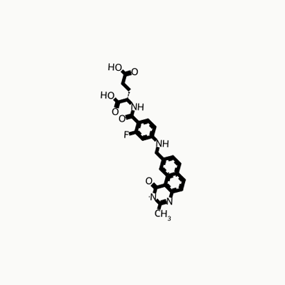 CC1=Nc2ccc3ccc(CNc4ccc(C(=O)N[C@@H](CCC(=O)O)C(=O)O)c(F)c4)cc3c2C(=O)[N]1